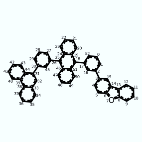 c1cc(-c2ccc3oc4ccccc4c3c2)cc(-c2c3ccccc3c(-c3cccc(-c4cc5ccccc5c5ccccc45)c3)c3ccccc23)c1